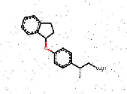 C[C@@H](CC(=O)O)c1ccc(OC2CCc3ccccc32)cc1